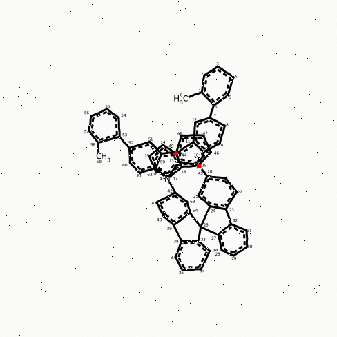 Cc1ccccc1-c1ccc2c(c1)c1ccccc1n2-c1ccc2c(c1)C1(c3ccccc3-2)c2ccccc2-c2ccc(-n3c4ccccc4c4cc(-c5ccccc5C)ccc43)cc21